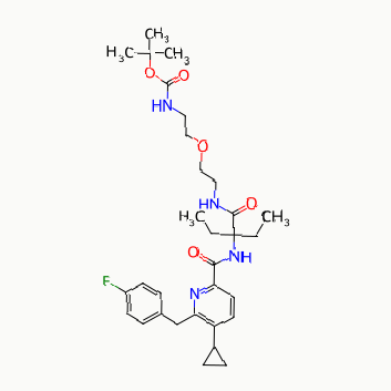 CCC(CC)(NC(=O)c1ccc(C2CC2)c(Cc2ccc(F)cc2)n1)C(=O)NCCOCCNC(=O)OC(C)(C)C